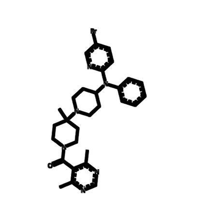 Cc1ncnc(C)c1C(=O)N1CCC(C)(N2CCC(N(c3ccccc3)c3ccc(Br)cn3)CC2)CC1